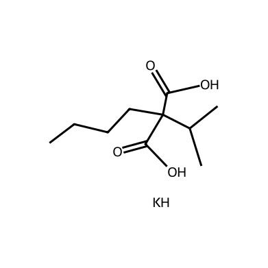 CCCCC(C(=O)O)(C(=O)O)C(C)C.[KH]